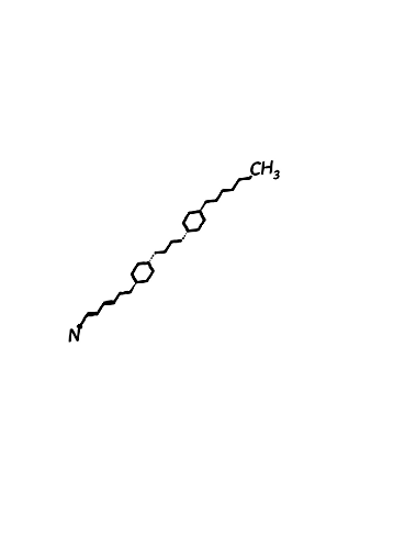 CCCCCCC[C@H]1CC[C@H](CCCC[C@H]2CC[C@H](CCC=CC=CC#N)CC2)CC1